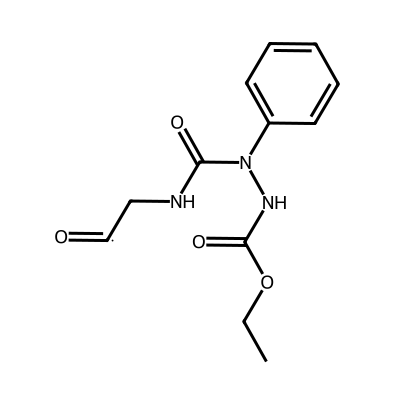 CCOC(=O)NN(C(=O)NC[C]=O)c1ccccc1